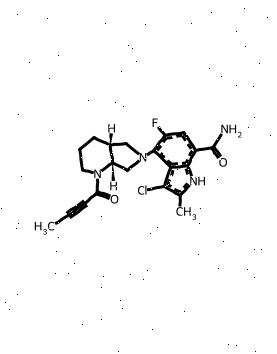 CC#CC(=O)N1CCC[C@@H]2CN(c3c(F)cc(C(N)=O)c4[nH]c(C)c(Cl)c34)C[C@@H]21